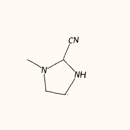 CN1C[CH]NC1C#N